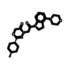 C[C@H]1CC[C@H](C2=NN(CC(=O)N3CCc4c(N5CCOCC5)cccc43)C(=O)CO2)CC1